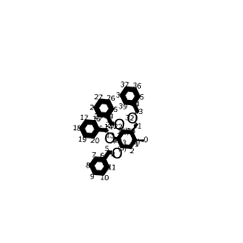 C[C@H]1C[C@H](OCc2ccccc2)[C@@H](OCc2ccccc2)[C@@H](OCc2ccccc2)[C@H]1COCc1ccccc1